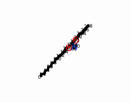 CCCCCCCCCCCCCCCCOC[C@H](COCCCCCCCC)N(C)C